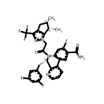 C[C@@H]1c2c(c(C(F)(F)F)nn2CC(=O)N[C@@H](Cc2cc(F)cc(F)c2)c2ncccc2-c2ccc(F)c(C(N)=O)c2)C[C@@H]1C